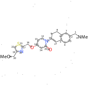 CNCc1ccc2c(c1)CCC(n1ccc(OCc3nc(COC)cs3)cc1=O)=C2